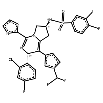 O=S(=O)(N[C@H]1CC2=C(c3ccn(C(F)F)n3)[C@H](c3ccc(F)cc3Cl)N=C(c3nccs3)N2C1)c1ccc(F)c(F)c1